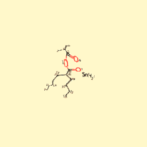 C=C(C)C(=O)OC(=O)C(CCCC)CCCC.[SnH2]